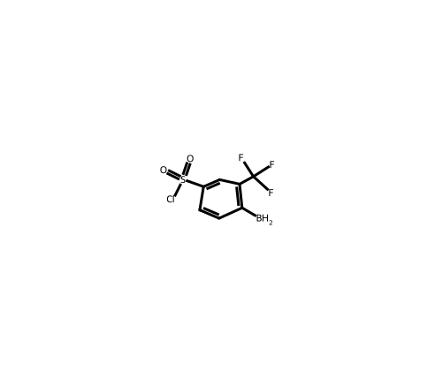 Bc1ccc(S(=O)(=O)Cl)cc1C(F)(F)F